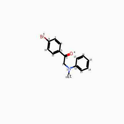 CCN(CC(=O)c1ccc(Br)cc1)c1ccccc1